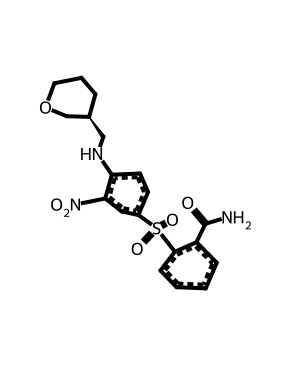 NC(=O)c1ccccc1S(=O)(=O)c1ccc(NC[C@@H]2CCCOC2)c([N+](=O)[O-])c1